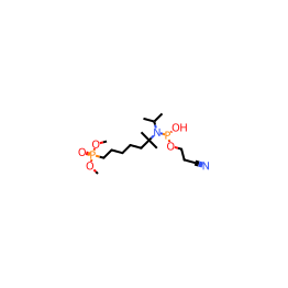 COP(=O)(CCCCCC(C)(C)N(C(C)C)P(O)OCCC#N)OC